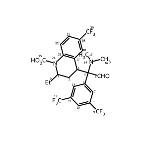 CCC1CC(C(C=O)(c2cc(C(F)(F)F)cc(C(F)(F)F)c2)N(C)C)c2cc(C(F)(F)F)ccc2N1C(=O)O